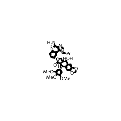 CC(C)Cn1cnc2c(N)nc3ccccc3c21.COc1cc([C@@H]2c3cc4c(cc3[C@H](O)[C@H]3COC(=O)[C@H]23)OCO4)cc(OC)c1OC